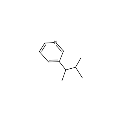 CC(C)C(C)c1cccnc1